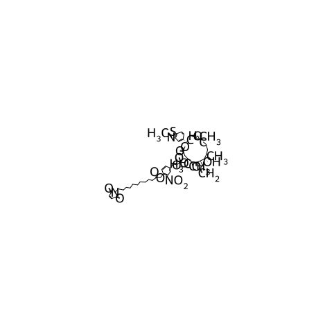 C=CC[C@H]1C(=O)C(C)(C)[C@@H](OC(=O)OCc2ccc(OC(=O)CCCCCCCCCCN3C(=O)C=CC3=O)c([N+](=O)[O-])c2)CC(=O)O[C@H](c2ccc3sc(C)nc3c2)C[C@@H]2O[C@]2(C)CCC[C@H](C)[C@@H]1O